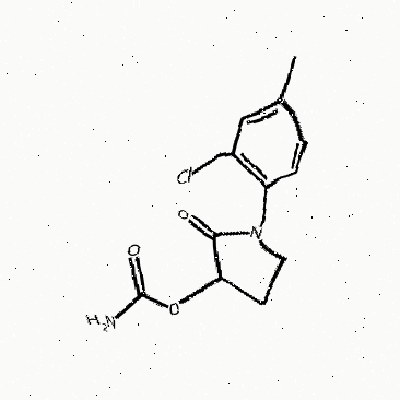 Cc1ccc(N2CCC(OC(N)=O)C2=O)c(Cl)c1